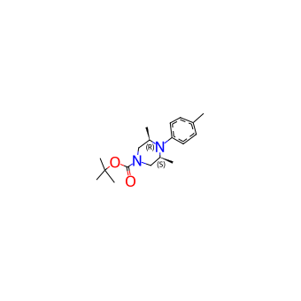 Cc1ccc(N2[C@H](C)CN(C(=O)OC(C)(C)C)C[C@@H]2C)cc1